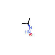 CC(C)=NN[O]